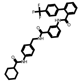 O=C(NCc1ccc(NC(=O)C2CCCCC2)cc1)c1cccc(NC(=O)c2ccccc2-c2ccc(C(F)(F)F)cc2)c1